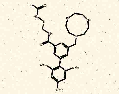 COc1cc(OC)c(-c2cc(CN3CCNCCNCC3)nc(C(=O)NCCNC(=O)C(F)(F)F)c2)c(OC)c1